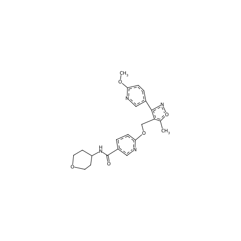 COc1ccc(-c2noc(C)c2COc2ccc(C(=O)NC3CCOCC3)cn2)cn1